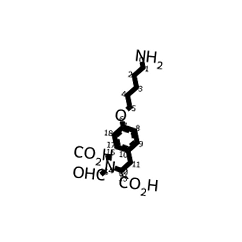 NCCCCCOc1ccc(C[C@H](C(=O)O)N(C=O)C(=O)O)cc1